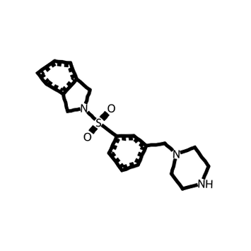 O=S(=O)(c1cccc(CN2CCNCC2)c1)N1Cc2ccccc2C1